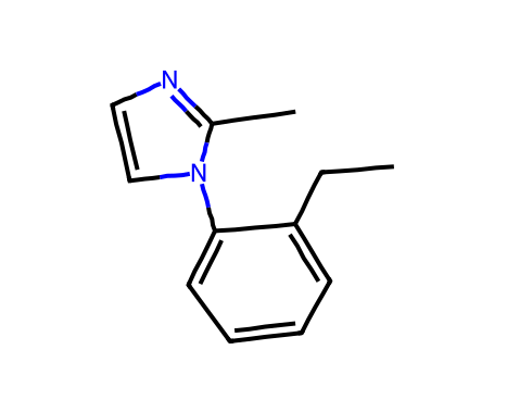 CCc1ccccc1-n1ccnc1C